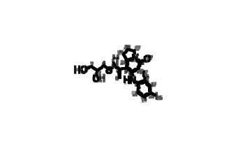 C=C(NOC[C@@H](O)CO)c1c(Nc2ccc(I)cc2F)cc(=O)n2c1CCC2